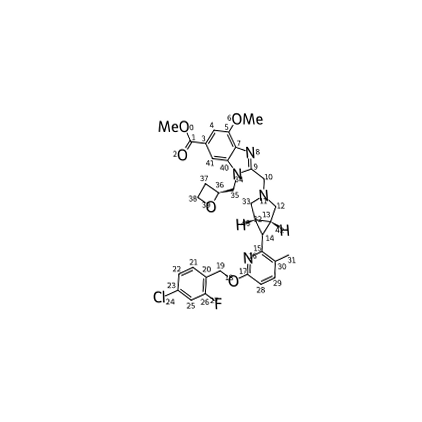 COC(=O)c1cc(OC)c2nc(CN3C[C@@H]4C(c5nc(OCc6ccc(Cl)cc6F)ccc5C)[C@@H]4C3)n(C[C@@H]3CCO3)c2c1